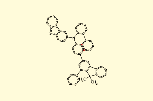 CC1(C)c2ccccc2-c2cc(-c3ccc(N(c4ccc5sc6ccccc6c5c4)c4ccccc4-c4ccccc4)cc3)cc(-c3ccccc3)c21